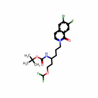 CC(C)(C)OC(=O)NC(CCCn1ccc2cc(Br)c(F)cc2c1=O)CCOC(F)F